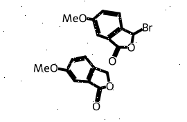 COc1ccc2c(c1)C(=O)OC2.COc1ccc2c(c1)C(=O)OC2Br